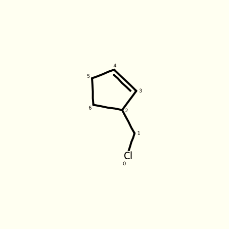 ClCC1C=CCC1